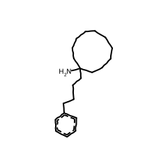 NC1(CCCCc2ccccc2)CCCCCCCCCC1